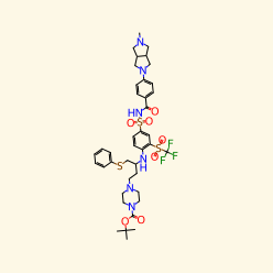 CN1CC2CN(c3ccc(C(=O)NS(=O)(=O)c4ccc(NC(CCN5CCN(C(=O)OC(C)(C)C)CC5)CSc5ccccc5)c(S(=O)(=O)C(F)(F)F)c4)cc3)CC2C1